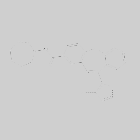 O=C(NN1CCCCCC1)c1ccc2c(c1)N=C(c1sccc1Cl)c1ccccc1S2